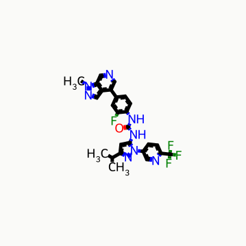 CC(C)c1cc(NC(=O)Nc2ccc(-c3cncc4c3cnn4C)cc2F)n(-c2ccc(C(F)(F)F)nc2)n1